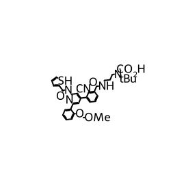 COCOc1ccccc1-c1cc(-c2cccc(C(=O)NCCCN(C(=O)O)C(C)(C)C)c2)c(C#N)c(NC(=O)c2cccs2)n1